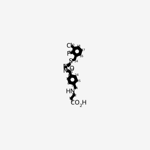 O=C(O)CCNCc1ccc(-c2nnc(SCc3cccc(Cl)c3F)o2)cc1